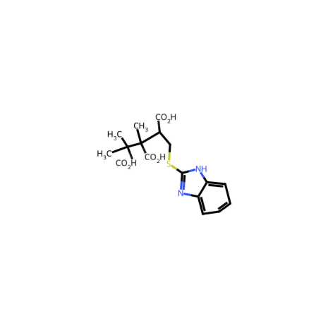 CC(C)(C(=O)O)C(C)(C(=O)O)C(CSc1nc2ccccc2[nH]1)C(=O)O